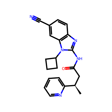 C[C@H](CC(=O)Nc1nc2ccc(C#N)cc2n1C1CCC1)c1ccccn1